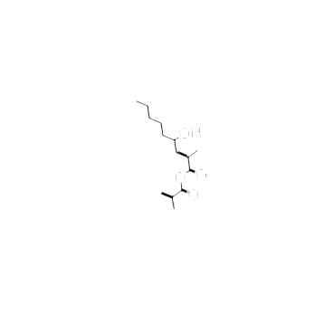 C=C(C)C(=O)OC(=O)C(C)=CC(O)CCCCC